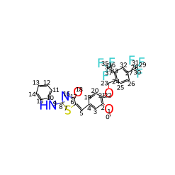 COc1cc(C=C2SC(Nc3ccccc3)=NC2=O)ccc1OCc1ccc(C(F)(F)F)cc1C(F)(F)F